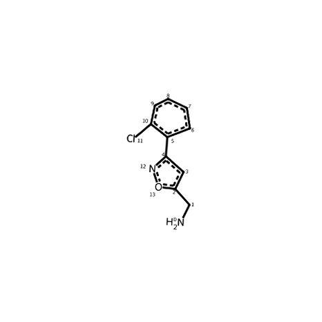 NCc1cc(-c2ccccc2Cl)no1